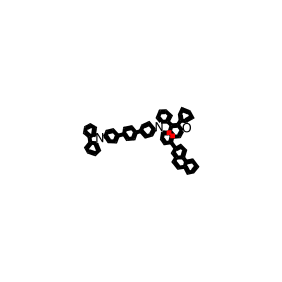 c1ccc(N(c2ccc(-c3ccc(-c4ccc(-n5c6ccccc6c6ccccc65)cc4)cc3)cc2)c2ccc(-c3ccc4c(ccc5ccccc54)c3)cc2)c(-c2cccc3oc4ccccc4c23)c1